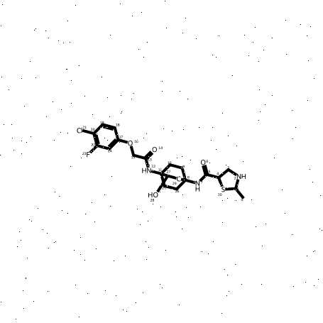 CC1NCC(C(=O)NC23CCC(NC(=O)COc4ccc(Cl)c(F)c4)(CC2)C(O)C3)S1